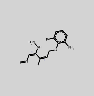 C=N/C=C(NN)\C(C)=C/COc1c(F)cccc1P